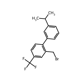 CC(C)c1cc[c]c(-c2ccc(C(F)(F)F)cc2CBr)c1